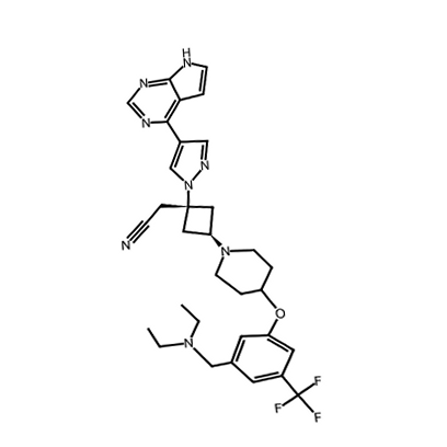 CCN(CC)Cc1cc(OC2CCN([C@H]3C[C@](CC#N)(n4cc(-c5ncnc6[nH]ccc56)cn4)C3)CC2)cc(C(F)(F)F)c1